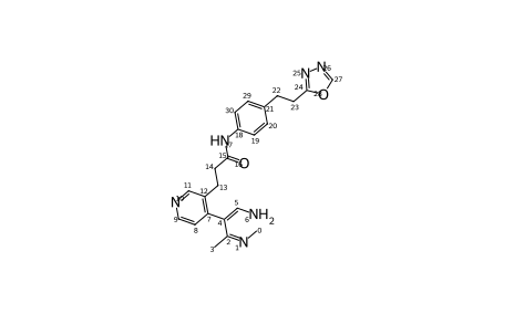 C/N=C(C)\C(=C/N)c1ccncc1CCC(=O)Nc1ccc(CCc2nnco2)cc1